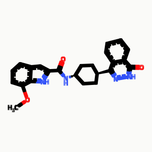 COc1cccc2cc(C(=O)N[C@H]3CC[C@H](c4n[nH]c(=O)c5ccccc54)CC3)[nH]c12